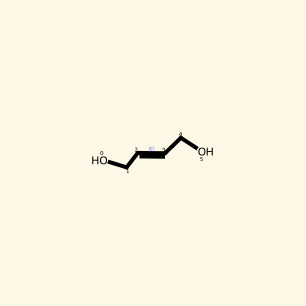 OC/C=C/CO